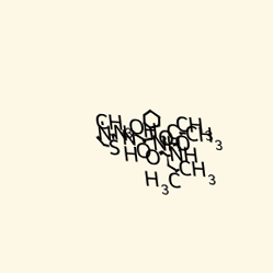 CC(C)C[C@H](NC(=O)OC(C)(C)C)C(=O)NC(C(=O)C(=O)N/N=C1\SCCN1C)C1CCCCC1